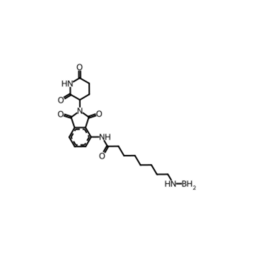 BNCCCCCCCC(=O)Nc1cccc2c1C(=O)N(C1CCC(=O)NC1=O)C2=O